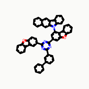 c1ccc(-c2cccc(-c3nc(-c4cc(-n5c6ccccc6c6cc7ccccc7cc65)c5c(c4)oc4ccccc45)nc(-c4ccc5oc6ccccc6c5c4)n3)c2)cc1